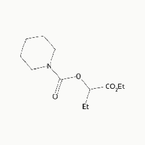 CCOC(=O)C(CC)OC(=O)N1CCCCC1